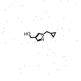 OCc1cnn(CC2CC2)c1